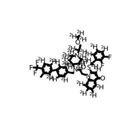 [2H]c1c([2H])c(F)c(F)c(C([2H])([2H])Sc2c([2H])c(=O)c3c([2H])c([2H])c([2H])c([2H])c3n2CC(=O)N(Cc2c([2H])c([2H])c(-c3c([2H])c([2H])c(C(F)(F)F)c(C)c3[2H])c([2H])c2[2H])C2([2H])C([2H])([2H])C([2H])([2H])N(C([2H])([2H])COC([2H])([2H])[2H])C([2H])([2H])C2([2H])[2H])c1[2H]